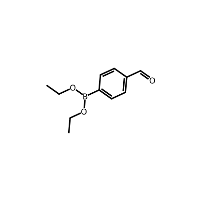 CCOB(OCC)c1ccc(C=O)cc1